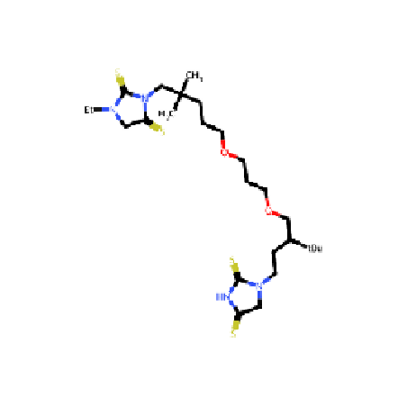 CCN1CC(=S)N(CC(C)(C)CCCOCCCOCC(CCN2CC(=S)NC2=S)C(C)(C)C)C1=S